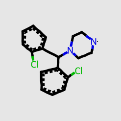 Clc1ccccc1C(c1ccccc1Cl)N1CC[N]CC1